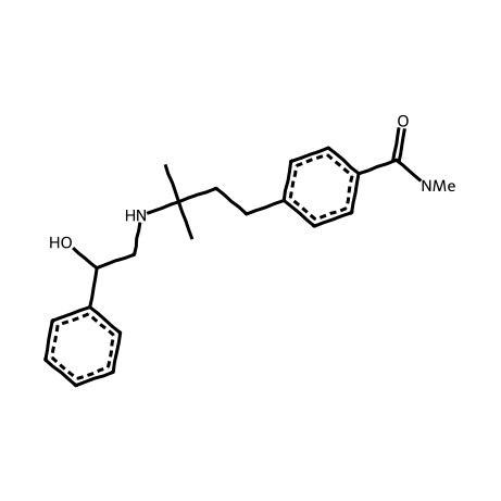 CNC(=O)c1ccc(CCC(C)(C)NCC(O)c2ccccc2)cc1